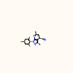 Cc1cc(C)c(-n2nc(C)c3c(C#N)cc(C)nc32)c(C)c1